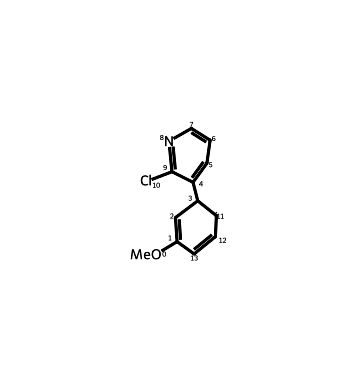 COC1=CC(c2cccnc2Cl)[CH]C=C1